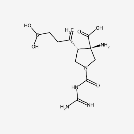 C=C(CCB(O)O)[C@H]1CN(C(=O)NC(=N)N)C[C@@]1(N)C(=O)O